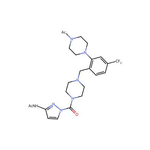 CC(=O)Nc1ccn(C(=O)N2CCN(Cc3ccc(C(F)(F)F)cc3N3CCN(C(C)=O)CC3)CC2)n1